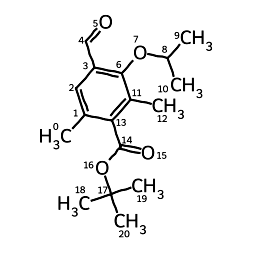 Cc1cc(C=O)c(OC(C)C)c(C)c1C(=O)OC(C)(C)C